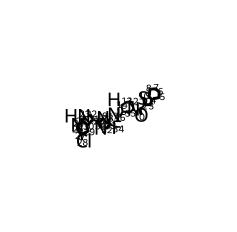 O=C(c1cc2ccccc2s1)N1CCCC(CNc2nc(-c3c[nH]c4ncc(Cl)cc34)ncc2F)C1